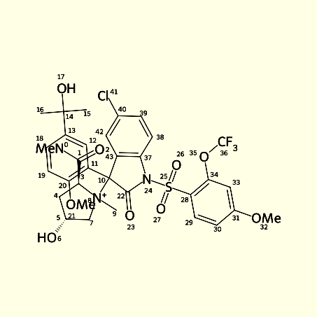 CNC(=O)[C@@H]1C[C@@H](O)C[N+]1(C)C1(c2cc(C(C)(C)O)ccc2OC)C(=O)N(S(=O)(=O)c2ccc(OC)cc2OC(F)(F)F)c2ccc(Cl)cc21